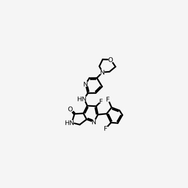 O=C1NCc2nc(-c3c(F)cccc3F)c(F)c(Nc3ccc(N4CCOCC4)cn3)c21